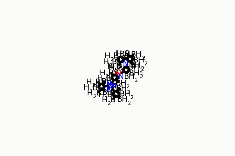 Bc1c(B)c(B)c(-c2nc(-c3c(B)c(B)c(B)c(B)c3B)nc(-c3c(B)c(B)c4oc(-c5c(B)c(B)c(B)c(-n6c7c(B)c(B)c(B)c(B)c7c7c(B)c(B)c(B)c(B)c76)c5B)nc4c3B)n2)c(B)c1B